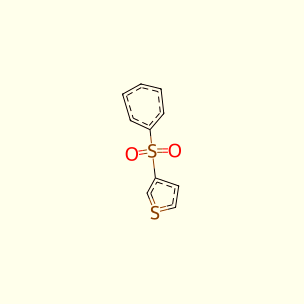 O=S(=O)(c1ccccc1)c1ccsc1